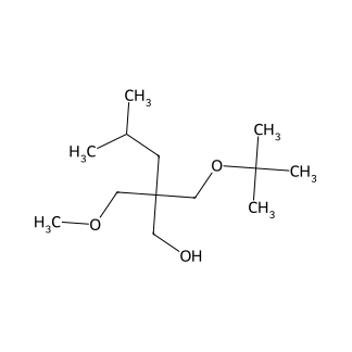 COCC(CO)(COC(C)(C)C)CC(C)C